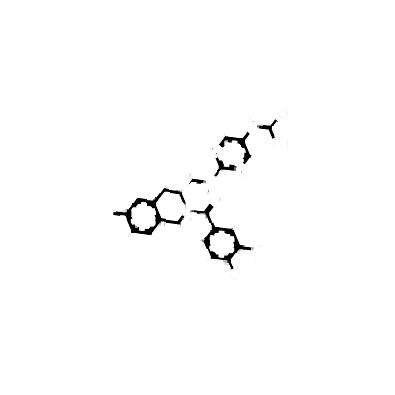 CC(C)Oc1cnc(OC[C@@H]2Cc3cc(F)ccc3CN2C(=O)c2ccc(Cl)c(Cl)c2)nc1